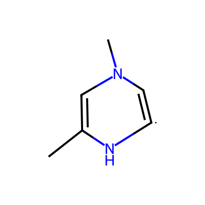 CC1=CN(C)C=[C]N1